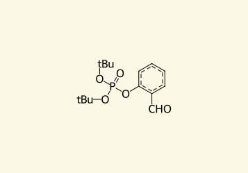 CC(C)(C)OP(=O)(Oc1ccccc1C=O)OC(C)(C)C